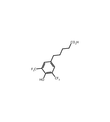 O=C(O)CCCCc1cc(C(F)(F)F)c(O)c(C(F)(F)F)c1